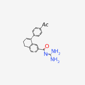 CC(=O)c1ccc(C2=CCCc3ccc(C(=O)N=C(N)N)cc32)cc1